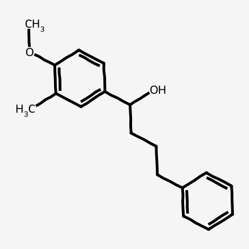 COc1ccc(C(O)CCCc2ccccc2)cc1C